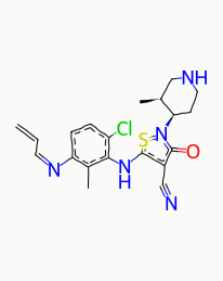 C=C/C=N\c1ccc(Cl)c(Nc2sn([C@@H]3CCNC[C@@H]3C)c(=O)c2C#N)c1C